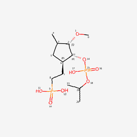 CO[C@H]1C(C)C[C@H](CCP(=O)(O)O)[C@H]1OP(=O)(O)OC(C)C